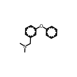 CN(C)Cc1cccc(Oc2ccccc2)c1